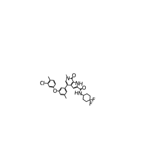 Cc1cc(Oc2ccc(C)c(Cl)c2)cc(-c2cn(C)c(=O)c3[nH]c(C(=O)NC4CCC(F)(F)CC4)cc23)c1